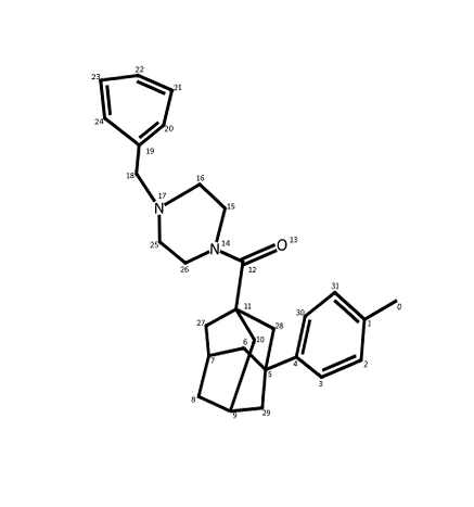 Cc1ccc(C23CC4CC(CC(C(=O)N5CCN(Cc6ccccc6)CC5)(C4)C2)C3)cc1